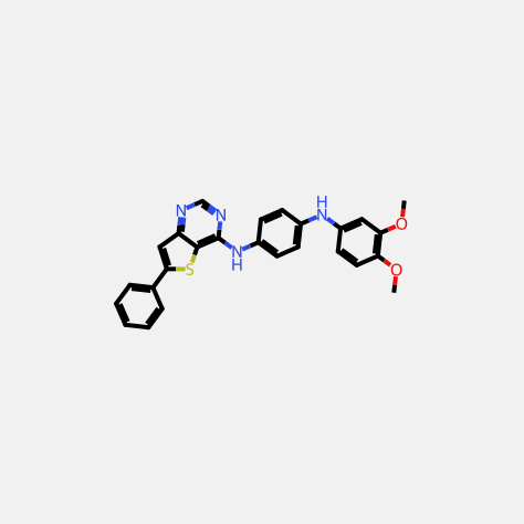 COc1ccc(Nc2ccc(Nc3ncnc4cc(-c5ccccc5)sc34)cc2)cc1OC